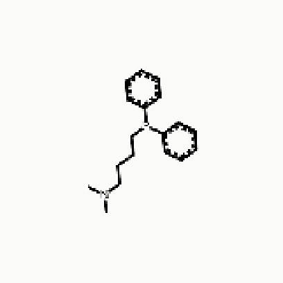 CN(C)CCCCP(c1ccccc1)c1ccccc1